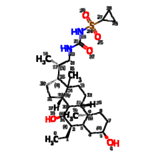 CC[C@@H]1C2C[C@H](O)CC[C@]2(C)[C@H]2CCC3(C)[C@@H]([C@H](C)CNC(=O)NS(=O)(=O)C4CC4)CC[C@H]3C2[C@@H]1O